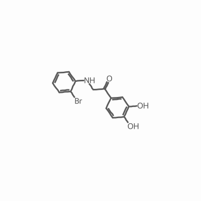 O=C(CNc1ccccc1Br)c1ccc(O)c(O)c1